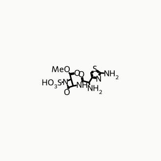 COC(=O)C1C(NC(=O)C(N)c2csc(N)n2)C(=O)N1S(=O)(=O)O